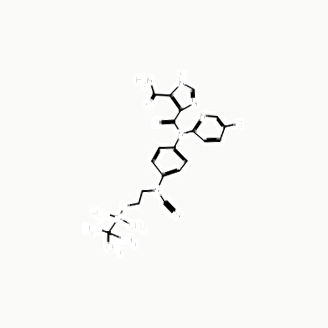 CC(C)(C)[Si](C)(C)OCCN(C#N)c1ccc(N(C(=O)c2nc[nH]c2C(N)=O)c2ccc(Cl)cn2)cc1